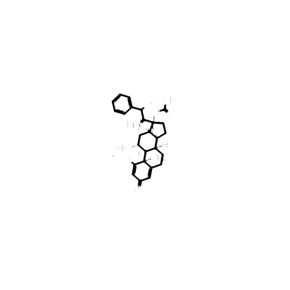 CCCC(=O)O[C@@]1(C(=O)C(O)c2ccccc2)CC[C@H]2[C@@H]3CCC4=CC(=O)C=C(OC(C)=O)[C@]4(C)[C@H]3[C@@H](O)C[C@@]21C